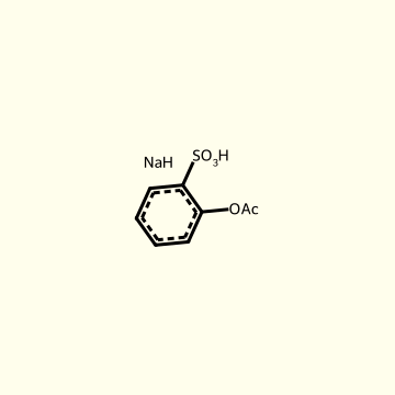 CC(=O)Oc1ccccc1S(=O)(=O)O.[NaH]